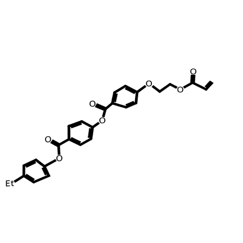 C=CC(=O)OCCOc1ccc(C(=O)Oc2ccc(C(=O)Oc3ccc(CC)cc3)cc2)cc1